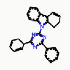 C1=CCC(c2nc(-c3ccccc3)nc(-n3c4c(c5ccccc53)C=CCC4)n2)C=C1